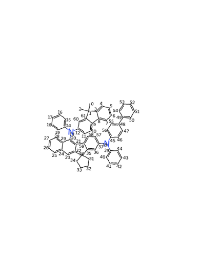 CC1(C)c2ccccc2-c2ccc(N(c3ccccc3)c3c4c(cc5ccccc35)C3(CCCC3)c3cc(N(c5ccccc5)c5ccc(-c6ccccc6)cc5)ccc3-4)cc21